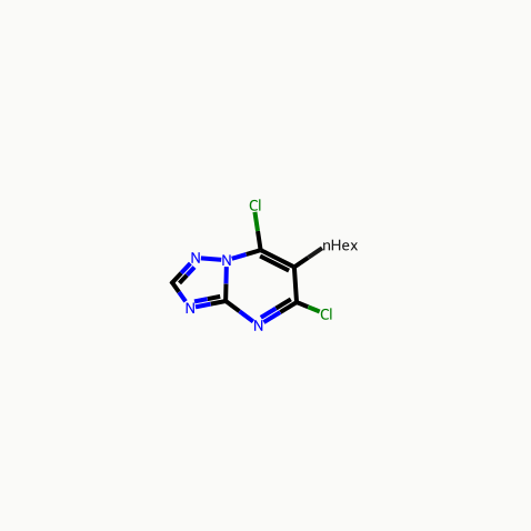 CCCCCCc1c(Cl)nc2ncnn2c1Cl